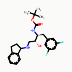 CC(C)(C)OC(=O)N[C@@H](Cc1cc(F)cc(F)c1)[C@H](O)CNC1CCc2ccccc21